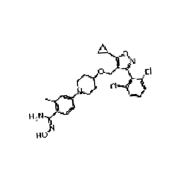 Cc1cc(N2CCC(OCc3c(-c4c(Cl)cccc4Cl)noc3C3CC3)CC2)ccc1/C(N)=N/O